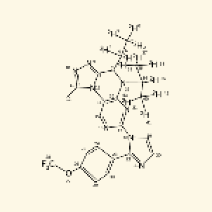 [2H]C([2H])([2H])C([2H])([2H])C1c2nnc(C)n2-c2cnc(-n3ccnc3-c3ccc(OC(F)(F)F)cc3)nc2N1C([2H])(C([2H])([2H])[2H])C([2H])([2H])[2H]